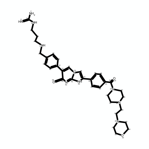 N=C(N)NCCCNCc1ccc(-c2cn3cc(-c4ccc(C(=O)N5CCN(CCN6CCOCC6)CC5)cc4)[nH]c3nc2=O)cc1